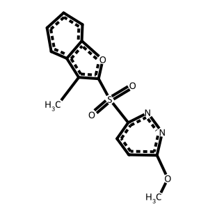 COc1ccc(S(=O)(=O)c2oc3ccccc3c2C)nn1